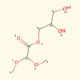 COC(OC)C(=O)OCC(O)CO